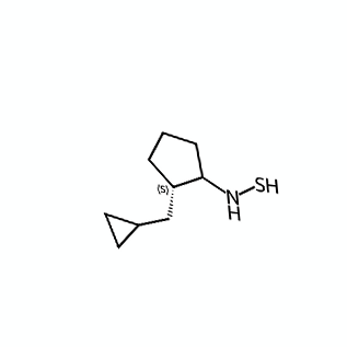 SNC1CCC[C@H]1CC1CC1